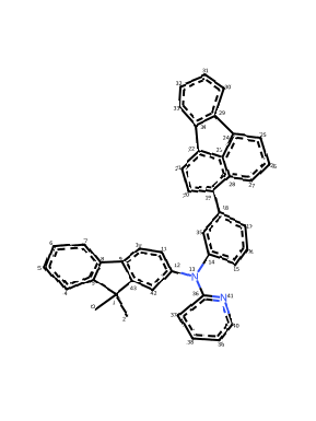 CC1(C)c2ccccc2-c2ccc(N(c3cccc(-c4ccc5c6c(cccc46)-c4ccccc4-5)c3)c3ccccn3)cc21